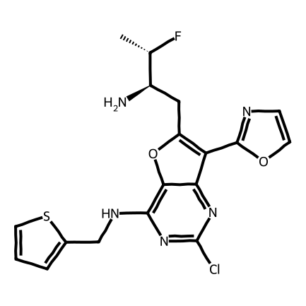 C[C@H](F)[C@H](N)Cc1oc2c(NCc3cccs3)nc(Cl)nc2c1-c1ncco1